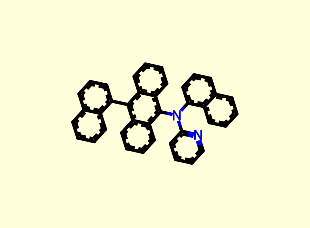 c1ccc(N(c2cccc3ccccc23)c2c3ccccc3c(-c3cccc4ccccc34)c3ccccc23)nc1